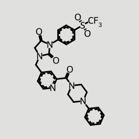 O=C(c1cc(CN2CC(=O)N(c3ccc(S(=O)(=O)C(F)(F)F)cc3)C2=O)ccn1)N1CCN(c2ccccc2)CC1